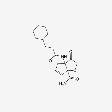 NC(=O)C12C=CCC1(NC(=O)[CH]CC1CCCCC1)C(=O)CO2